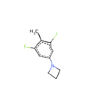 Cc1c(F)cc(N2CCC2)cc1F